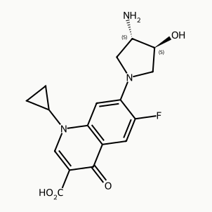 N[C@H]1CN(c2cc3c(cc2F)c(=O)c(C(=O)O)cn3C2CC2)C[C@@H]1O